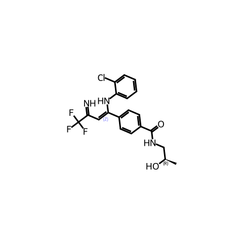 C[C@@H](O)CNC(=O)c1ccc(/C(=C/C(=N)C(F)(F)F)Nc2ccccc2Cl)cc1